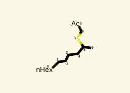 CCCCCCCCCCC(C)SCC(C)=O